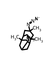 CC1C2CC3CC4C(CC(C)(N=[N+]=[N-])CC24C)C1(C)C3